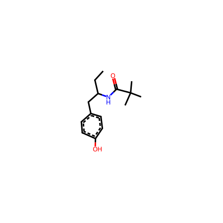 CCC(Cc1ccc(O)cc1)NC(=O)C(C)(C)C